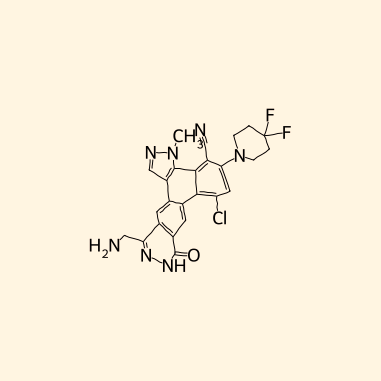 Cn1ncc2c3cc4c(CN)n[nH]c(=O)c4cc3c3c(Cl)cc(N4CCC(F)(F)CC4)c(C#N)c3c21